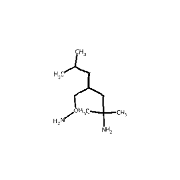 CC(C)CC(CON)CC(C)(C)N